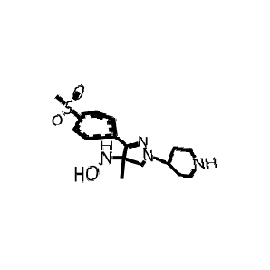 CC1(NO)CN(C2CCNCC2)N=C1c1ccc(S(C)(=O)=O)cc1